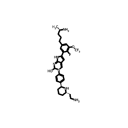 C[C@H](N)CCCc1cc(OC(F)(F)F)c(F)c(-c2cc3c([nH]2)=NC(O)N(c2ccc([C@@H]4CCC[C@@H](CCN)N4)cc2)C=3)c1